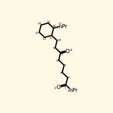 CCCC(=O)CCCCC(=O)CCC1CCCCC1CCC